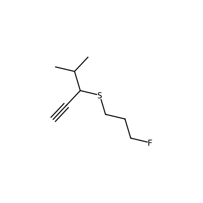 C#CC(SCCCF)C(C)C